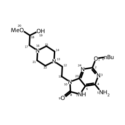 CCCCOc1nc(N)c2[nH]c(=O)n(CCN3CCN(CC(O)OC)CC3)c2n1